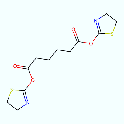 O=C(CCCCC(=O)OC1=NCCS1)OC1=NCCS1